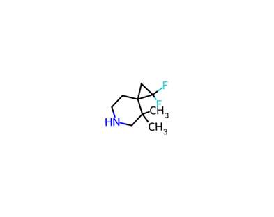 CC1(C)CNCCC12CC2(F)F